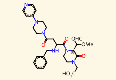 COC(C=O)[C@H]1C(=O)N(CC(=O)O)CCN1C(=O)C(CC(=O)N1CCN(c2ccncc2)CC1)NCc1ccccc1